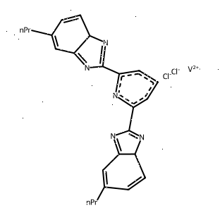 CCCC1=CC2=NC(c3cccc(C4=NC5C=CC(CCC)=CC5=N4)n3)=NC2C=C1.[Cl-].[Cl-].[V+2]